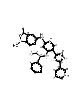 CC1OB(O)c2ccc(Nc3cc(N[C@H](CO)c4ccccc4)c(-c4nnc(-c5cccnc5)o4)cn3)cc21